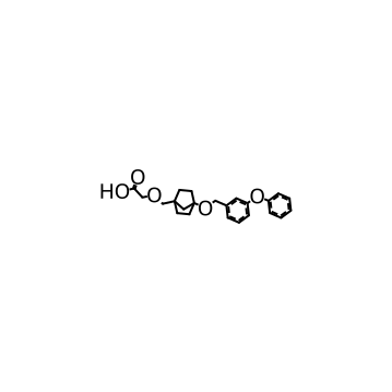 O=C(O)COCC12CCC(OCc3cccc(Oc4ccccc4)c3)(CC1)C2